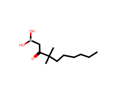 CCCCCCC(C)(C)C(=O)CB(O)O